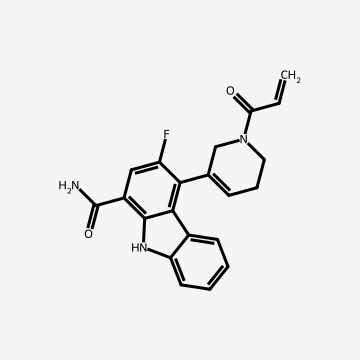 C=CC(=O)N1CCC=C(c2c(F)cc(C(N)=O)c3[nH]c4ccccc4c23)C1